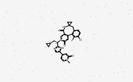 Cn1ccc(-c2cnc([C@@H](CC3CC3)n3cc4c(cc3=O)-c3c(ccc(Cl)c3F)CC3(CC3)NC4=O)[nH]2)cc1=O